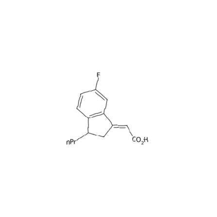 CCCC1CC(=CC(=O)O)c2cc(F)ccc21